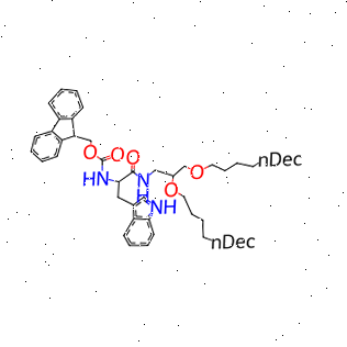 CCCCCCCCCCCCCCOCC(CNC(=O)C(Cc1c[nH]c2ccccc12)NC(=O)OCC1c2ccccc2-c2ccccc21)OCCCCCCCCCCCCCC